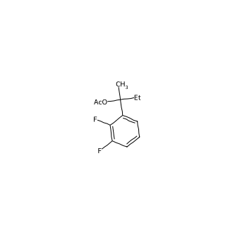 CCC(C)(OC(C)=O)c1cccc(F)c1F